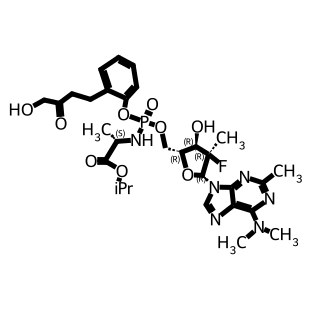 Cc1nc(N(C)C)c2ncn([C@@H]3O[C@H](COP(=O)(N[C@@H](C)C(=O)OC(C)C)Oc4ccccc4CCC(=O)CO)[C@@H](O)[C@@]3(C)F)c2n1